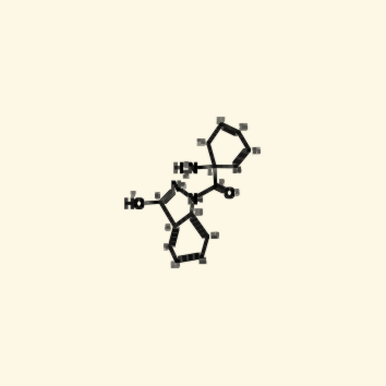 NC1(C(=O)n2nc(O)c3ccccc32)C=CC=CC1